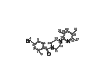 Cc1cc(Br)ccc1C(=O)N1CCN(c2nc(C)c(C)cc2C)CC1